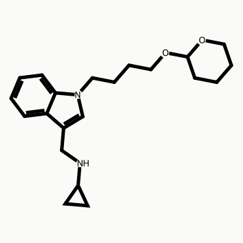 c1ccc2c(c1)c(CNC1CC1)cn2CCCCOC1CCCCO1